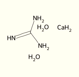 N=C(N)N.O.O.[CaH2]